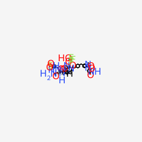 Cn1c(=O)n(C2CCC(=O)NC2=O)c2ccc(CC3CCC(CC(=O)N4CC[C@H]5CC[C@@H](C(=O)N[C@H](CCC(N)=O)C(=O)NCc6ccc(S(C)(=O)=O)cc6)N5C(=O)[C@@H](N)C4)CC3)cc21.O=C(O)C(F)(F)F